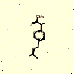 COC(=O)C(C)c1ccc(CC=C(C)C)cc1